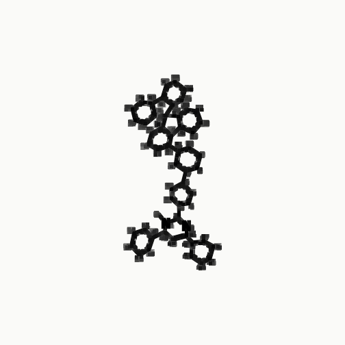 CN1C(c2ccc(-c3cccc(-c4cccc5c4-c4ccccc4C54c5ccccc5-c5ccccc54)c3)cc2)=NC(c2ccccc2)=CC1c1ccccc1